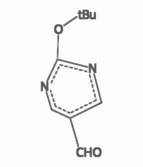 CC(C)(C)Oc1ncc(C=O)cn1